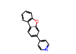 [c]1cccc2oc3cc(-c4ccncc4)ccc3c12